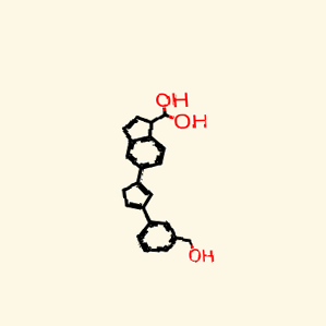 OCc1cccc(C2=CCC(c3ccc4c(c3)C=CC4C(O)O)=C2)c1